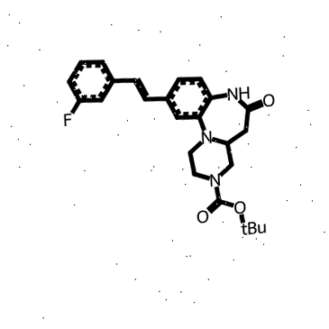 CC(C)(C)OC(=O)N1CCN2c3cc(C=Cc4cccc(F)c4)ccc3NC(=O)CC2C1